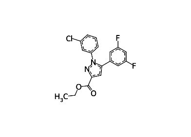 CCOC(=O)c1cc(-c2cc(F)cc(F)c2)n(-c2cccc(Cl)c2)n1